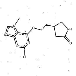 Cn1cnc2cc(Cl)nc(OCC[C@H]3CNC(=O)C3)c21